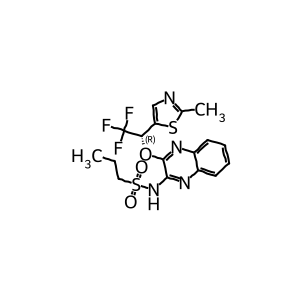 CCCS(=O)(=O)Nc1nc2ccccc2nc1O[C@@H](c1cnc(C)s1)C(F)(F)F